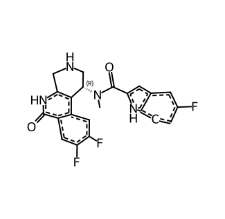 CN(C(=O)c1cc2cc(F)ccc2[nH]1)[C@H]1CNCc2[nH]c(=O)c3cc(F)c(F)cc3c21